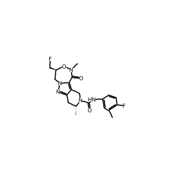 Cc1cc(NC(=O)N2Cc3c(nn4c3C(=O)N(C)O[C@H](CF)C4)C[C@H]2C)ccc1F